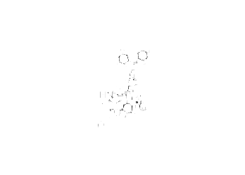 COCCOC(=O)C1=C(C)NC(C)=C(C(=O)O[C@]2(C)CCN(CCC(c3ccccc3)c3ccccc3)C2)[C@@H]1c1cccc([N+](=O)[O-])c1